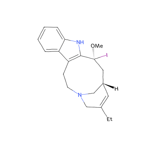 CCC1=C[C@@H]2CN(CCc3c([nH]c4ccccc34)[C@](I)(OC)C2)C1